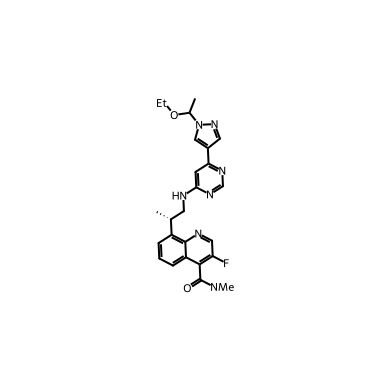 CCOC(C)n1cc(-c2cc(NC[C@@H](C)c3cccc4c(C(=O)NC)c(F)cnc34)ncn2)cn1